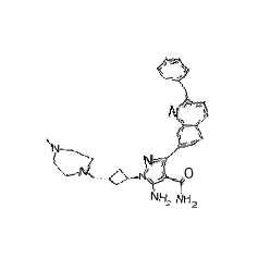 CN1CCN(C[C@H]2C[C@H](n3nc(-c4ccc5ccc(-c6ccccc6)nc5c4)c(C(N)=O)c3N)C2)CC1